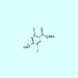 COC(=O)c1cc(I)c(O)cc1F